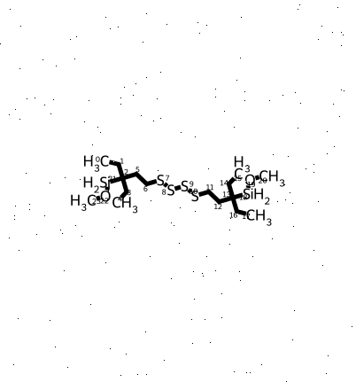 CCC(CC)(CCSSSSCCC(CC)(CC)[SiH2]OC)[SiH2]OC